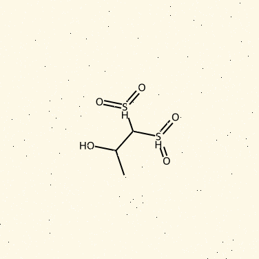 CC(O)C([SH](=O)=O)[SH](=O)=O